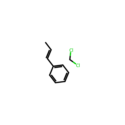 CC=Cc1ccccc1.ClCCl